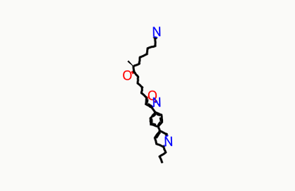 CCCC1CC=C(c2ccc(-c3cc(CCCCC(=O)[C@@H](C)CCCCCC#N)on3)cc2)C=N1